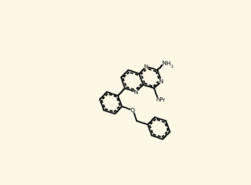 CCCc1nc(N)nc2ccc(-c3ccccc3OCc3ccccc3)nc12